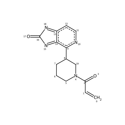 C=CC(=O)N1CCCC(c2nccc3c2=NC(=O)N=3)C1